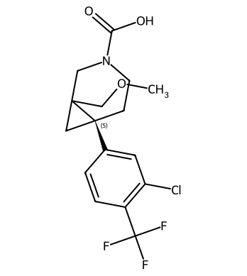 COCC12CN(C(=O)O)CC[C@]1(c1ccc(C(F)(F)F)c(Cl)c1)C2